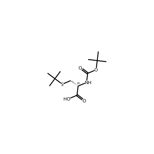 CC(C)(C)OC(=O)N[C@@H](CSC(C)(C)C)C(=O)O